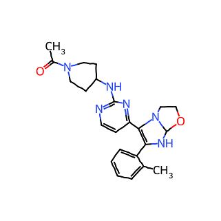 CC(=O)N1CCC(Nc2nccc(C3=C(c4ccccc4C)NC4OCCN34)n2)CC1